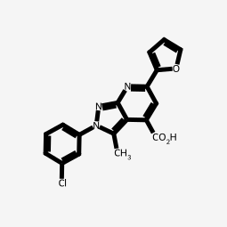 Cc1c2c(C(=O)O)cc(-c3ccco3)nc2nn1-c1cccc(Cl)c1